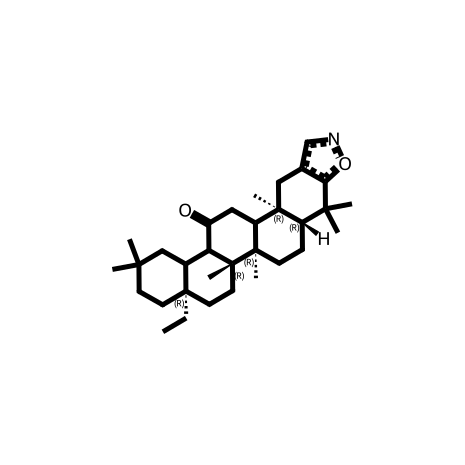 CC[C@]12CCC(C)(C)CC1C1C(=O)CC3[C@@]4(C)Cc5cnoc5C(C)(C)[C@@H]4CC[C@@]3(C)[C@]1(C)CC2